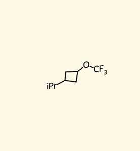 CC(C)C1CC(OC(F)(F)F)C1